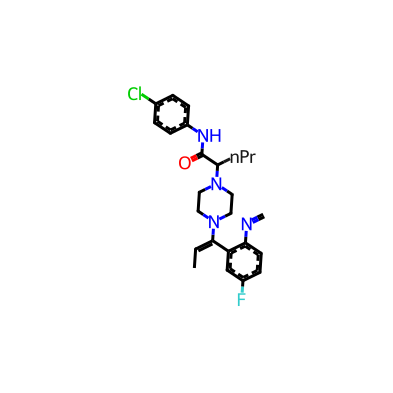 C=Nc1ccc(F)cc1/C(=C\C)N1CCN(C(CCC)C(=O)Nc2ccc(Cl)cc2)CC1